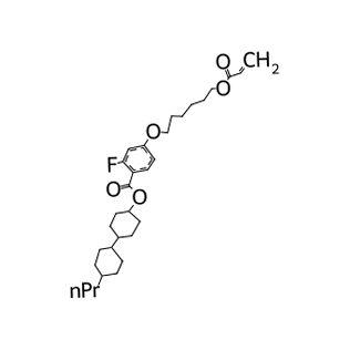 C=CC(=O)OCCCCCCOc1ccc(C(=O)OC2CCC(C3CCC(CCC)CC3)CC2)c(F)c1